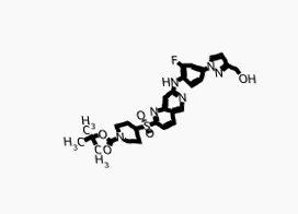 CC(C)(C)OC(=O)N1CCC(S(=O)(=O)c2ccc3cnc(Nc4ccc(-n5ccc(CO)n5)cc4F)cc3n2)CC1